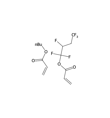 C=CC(=O)OC(F)(F)C(F)CC(F)(F)F.C=CC(=O)OCCCC